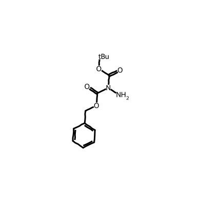 CC(C)(C)OC(=O)N(N)C(=O)OCc1ccccc1